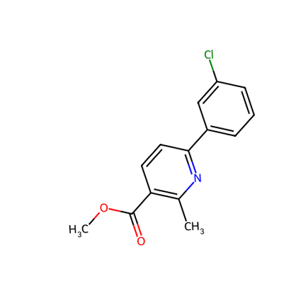 COC(=O)c1ccc(-c2cccc(Cl)c2)nc1C